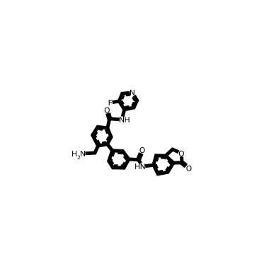 NCc1ccc(C(=O)Nc2ccncc2F)cc1-c1cccc(C(=O)Nc2ccc3c(c2)COC3=O)c1